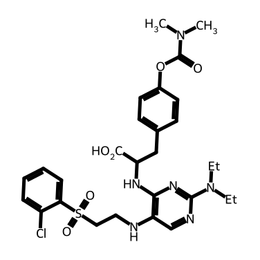 CCN(CC)c1ncc(NCCS(=O)(=O)c2ccccc2Cl)c(NC(Cc2ccc(OC(=O)N(C)C)cc2)C(=O)O)n1